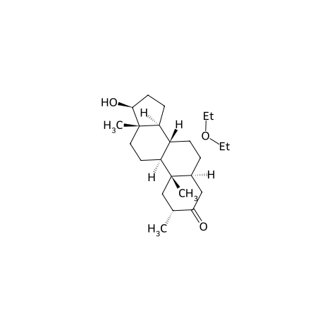 CCOCC.C[C@@H]1C[C@@]2(C)[C@@H](CC[C@@H]3[C@@H]2CC[C@]2(C)[C@@H](O)CC[C@@H]32)CC1=O